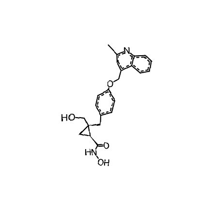 Cc1cc(COc2ccc(C[C@]3(CO)C[C@@H]3C(=O)NO)cc2)c2ccccc2n1